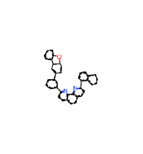 C1=CC2Oc3ccccc3C2C=C1c1cccc(-c2ccc3ccc4ccc(-c5cccc6ccccc56)nc4c3n2)c1